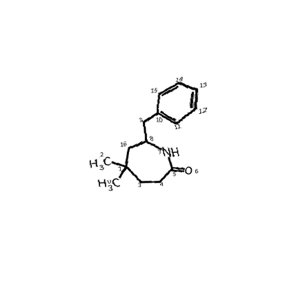 CC1(C)CCC(=O)NC(Cc2ccccc2)C1